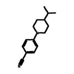 CC(C)C1CCN(c2ccc(C#N)cc2)CC1